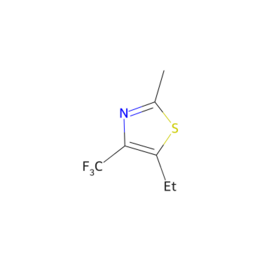 [CH2]Cc1sc(C)nc1C(F)(F)F